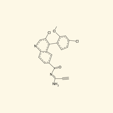 C#C/C(N)=N\C(=O)c1ccc2ncc(Cl)c(-c3ccc(Cl)cc3OC)c2c1